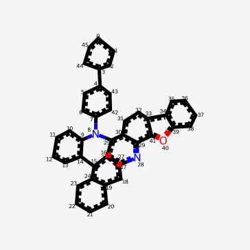 c1ccc(-c2ccc(N(c3ccccc3-c3cccc4ccccc34)c3ccnc4c3ccc3c5ccccc5oc34)cc2)cc1